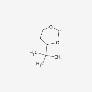 CC(C)(C)C1CCO[CH]O1